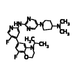 CC(C)N1CCOc2c(F)cc(-c3cc(Nc4ncc(N5CCC(N(C)C)CC5)cn4)ncc3F)cc21